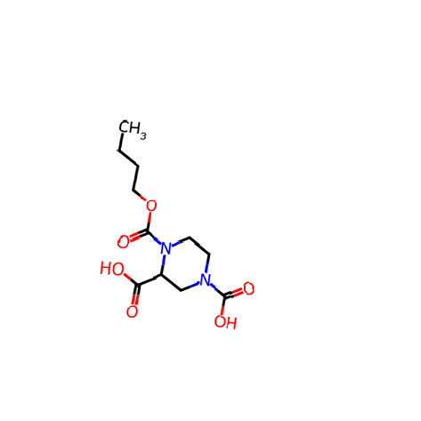 CCCCOC(=O)N1CCN(C(=O)O)CC1C(=O)O